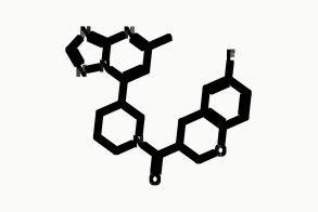 Cc1cc(C2CCCN(C(=O)C3COc4ccc(F)cc4C3)C2)n2ncnc2n1